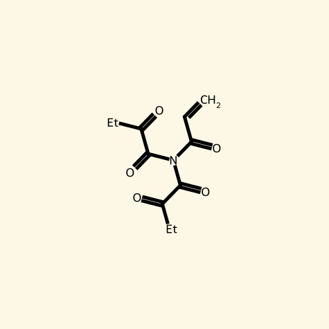 C=CC(=O)N(C(=O)C(=O)CC)C(=O)C(=O)CC